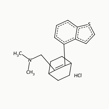 CN(C)CC1=C(c2cccc3sccc23)C2CCC1CC2.Cl